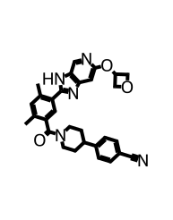 Cc1cc(C)c(-c2nc3cc(OC4COC4)ncc3[nH]2)cc1C(=O)N1CCC(c2ccc(C#N)cc2)CC1